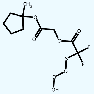 CC1(OC(=O)COC(=O)C(F)(F)SOOO)CCCC1